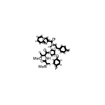 CN[C@@H](C)C(=O)N[C@H](C(=O)N1C[C@@H](Oc2ccc(F)cc2)C[C@H]1CN(CCc1ccc(F)cc1)C(=O)c1cn2ccccc2n1)[C@@H](C)OC